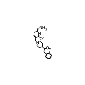 C=C(CN1CCC(C(=O)Cc2ccccc2F)CC1)/C(=N\C(C)=C/N)OC